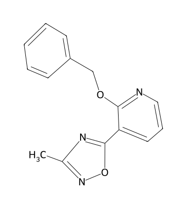 Cc1noc(-c2cccnc2OCc2ccccc2)n1